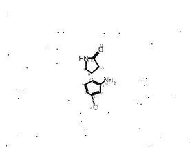 Nc1cc(Cl)ccc1[C@@H]1CNC(=O)C1